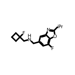 CC(C)c1nc2cc(CNCC3(F)CCC3)cc(F)c2o1